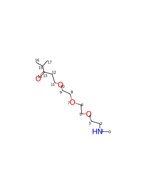 CNCCOCCOCCOCCC(=O)C(C)C